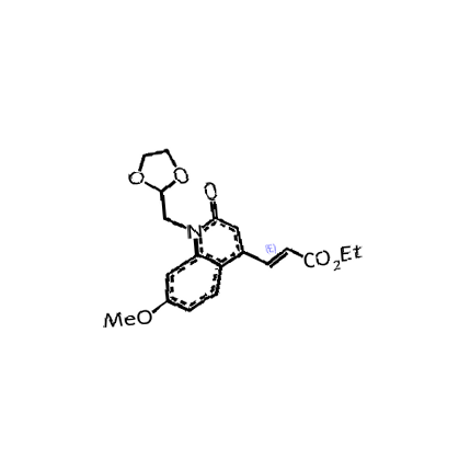 CCOC(=O)/C=C/c1cc(=O)n(CC2OCCO2)c2cc(OC)ccc12